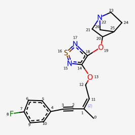 C/C(C#Cc1ccc(F)cc1)=C/COc1nsnc1OC1CN2CCC1C2